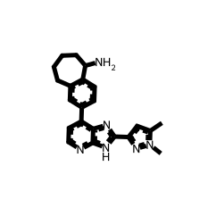 Cc1cc(-c2nc3c(-c4ccc5c(c4)CCCCC5N)ccnc3[nH]2)nn1C